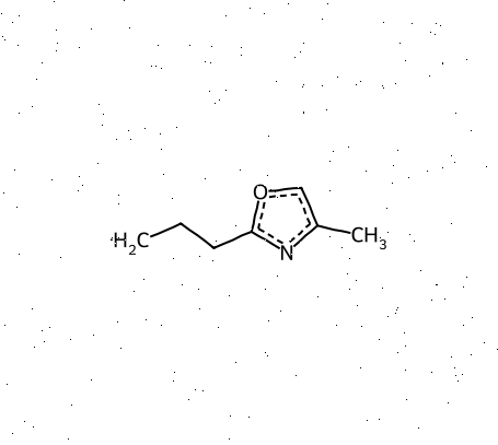 [CH2]CCc1nc(C)co1